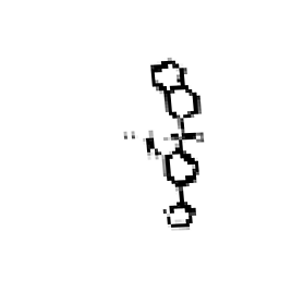 NC(=O)O.O=S(=O)(c1ccc(-c2cccs2)cc1)N1CCc2ccccc2C1